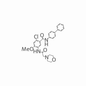 COc1cc(Cl)c(C(=O)Nc2ccc(-c3ccccc3)cc2)cc1NC(=O)CN1CCOCC1